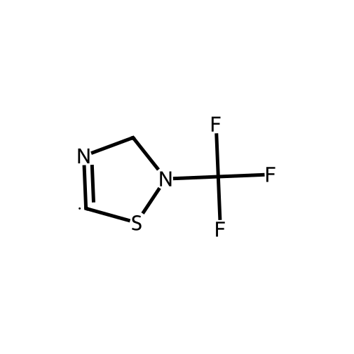 FC(F)(F)N1CN=[C]S1